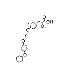 CO[C@@H](Cc1ccc(OCCCOc2ccc(Oc3ccccc3)cc2)c(C)c1)C(=O)O